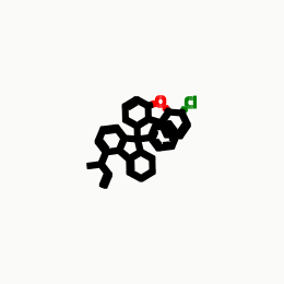 C=CC(C)C1=CC=CC2C1C1=CCCCC1C2(c1ccccc1)C1CC=CC2OC3C(Cl)C=CCC3C21